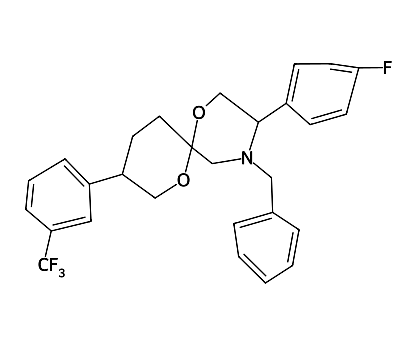 Fc1ccc(C2COC3(CCC(c4cccc(C(F)(F)F)c4)CO3)CN2Cc2ccccc2)cc1